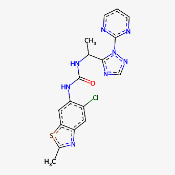 Cc1nc2cc(Cl)c(NC(=O)NC(C)c3ncnn3-c3ncccn3)cc2s1